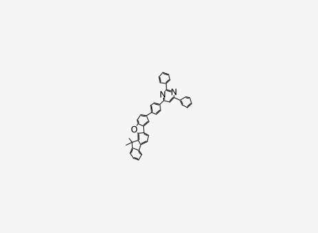 CC1(C)c2ccccc2-c2ccc3c(oc4ccc(-c5ccc(-c6cc(-c7ccccc7)nc(-c7ccccc7)n6)cc5)cc43)c21